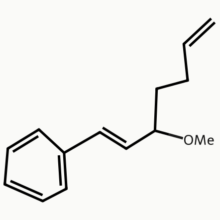 C=CCCC(/C=C/c1ccccc1)OC